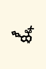 CC(C)(C)OC(=O)c1ccnc2ccc(N3CC4(CCC4)C3)cc12